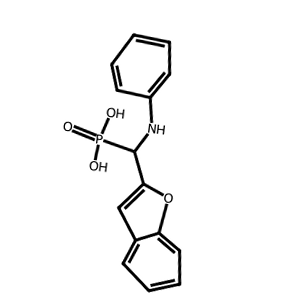 O=P(O)(O)C(Nc1ccccc1)c1cc2ccccc2o1